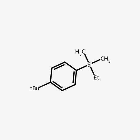 CCCCc1ccc([Si](C)(C)CC)cc1